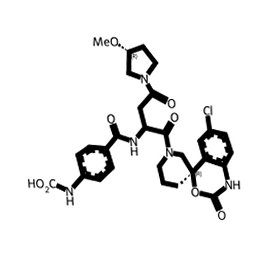 CO[C@@H]1CCN(C(=O)CC(NC(=O)c2ccc(NC(=O)O)cc2)C(=O)N2CCC[C@@]3(C2)OC(=O)Nc2ccc(Cl)cc23)C1